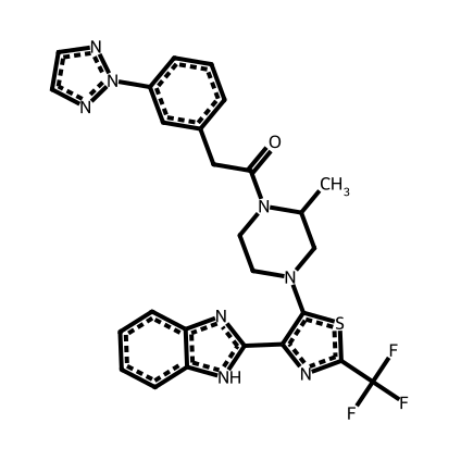 CC1CN(c2sc(C(F)(F)F)nc2-c2nc3ccccc3[nH]2)CCN1C(=O)Cc1cccc(-n2nccn2)c1